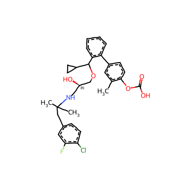 Cc1cc(-c2ccccc2C(OC[C@H](O)CNC(C)(C)Cc2ccc(Cl)c(F)c2)C2CC2)ccc1OC(=O)O